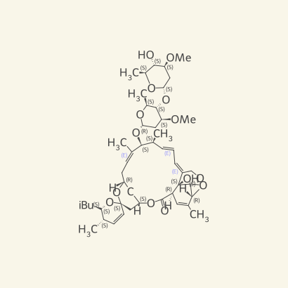 CC[C@H](C)[C@@H]1O[C@]2(C=C[C@@H]1C)C[C@@H]1C[C@@H](C/C=C(\C)[C@@H](O[C@H]3C[C@H](OC)[C@@H](O[C@H]4C[C@H](OC)[C@@H](O)[C@H](C)O4)[C@H](C)O3)[C@@H](C)/C=C/C=C3\CO[C@]45O[C@@H]4C(C)=C[C@@H](C(=O)O1)[C@]35O)O2